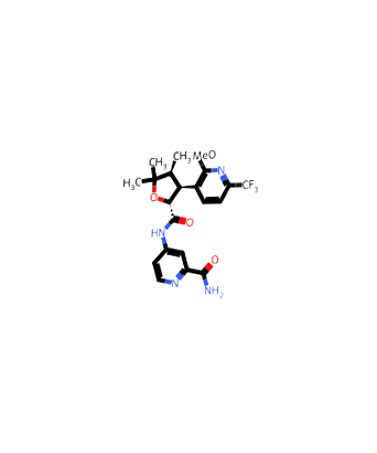 COc1nc(C(F)(F)F)ccc1[C@H]1[C@H](C(=O)Nc2ccnc(C(N)=O)c2)OC(C)(C)[C@H]1C